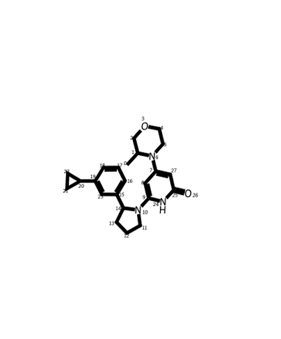 CC1COCCN1c1cc(N2CCCC2c2cccc(C3CC3)c2)[nH]c(=O)c1